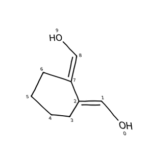 OC=C1CCCCC1=CO